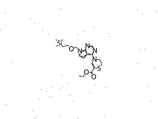 CCOC(=O)C1=CN(c2ncnc3c2ccn3COCC[Si](C)(C)C)CCS1